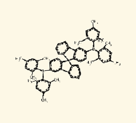 Cc1cc(C)c(B(c2ccc3c(c2)-c2ccccc2C32c3ccccc3-c3cc(B(c4c(C)cc(C)cc4C)c4c(C)cc(C)cc4C)ccc32)c2c(C)cc(C)cc2C)c(C)c1